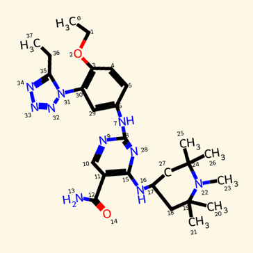 CCOc1ccc(Nc2ncc(C(N)=O)c(NC3CC(C)(C)N(C)C(C)(C)C3)n2)cc1-n1nnnc1CC